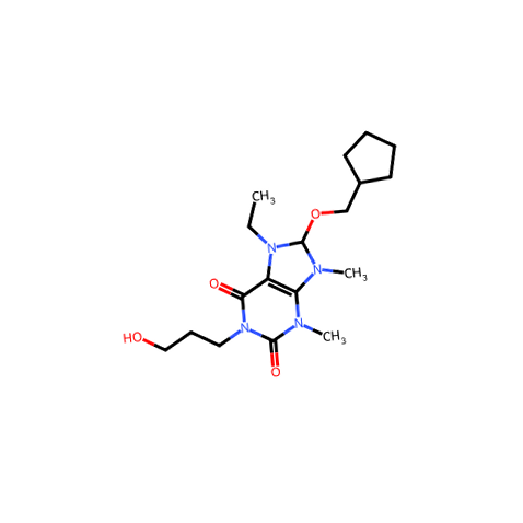 CCN1c2c(n(C)c(=O)n(CCCO)c2=O)N(C)C1OCC1CCCC1